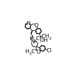 CC(=O)C1(c2ccc(Cl)cc2)CCN(CC/C=C2\c3cc(C(C)(C)O)ccc3OCc3ncccc32)CC1